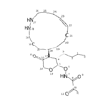 CCCC[C@@H]1C(ONC(=O)C(C)=O)OCC(=O)C1[C@@H]1CCC/C=C\CCCNNCCC1